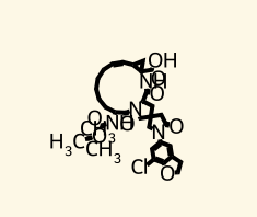 CC(C)(C)OC(=O)NC1CCCCC/C=C\C2CC2(C(=O)O)NC(=O)C2CC3(CC(=O)N(c4cc(Cl)c5c(c4)CCO5)C3)CN2C1=O